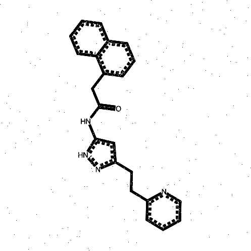 O=C(Cc1cccc2ccccc12)Nc1cc(CCc2ccccn2)n[nH]1